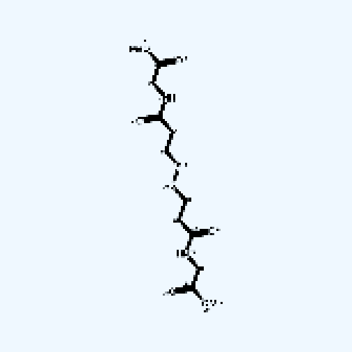 COC(=O)CNC(=O)CCSSCCC(=O)NCC(=O)OC